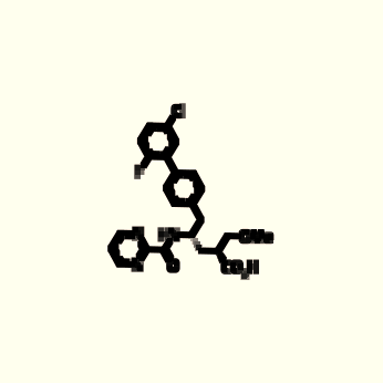 COC[C@H](C[C@@H](Cc1ccc(-c2cc(Cl)ccc2F)cc1)NC(=O)c1ncccn1)C(=O)O